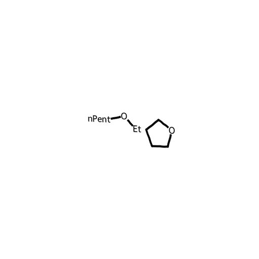 C1CCOC1.CCCCCOCC